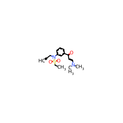 C#CCN(c1cccc(C(=O)C=CN(C)C)c1)S(=O)(=O)CC